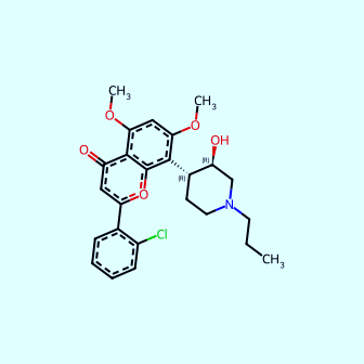 CCCN1CC[C@H](c2c(OC)cc(OC)c3c(=O)cc(-c4ccccc4Cl)oc23)[C@@H](O)C1